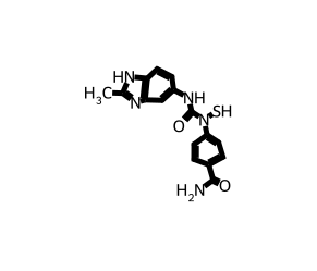 Cc1nc2cc(NC(=O)N(S)c3ccc(C(N)=O)cc3)ccc2[nH]1